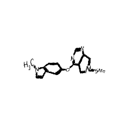 CSN1Cc2ncnc(Oc3ccc4c(ccn4C)c3)c2C1